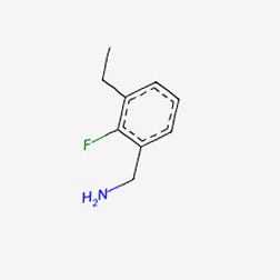 CCc1cccc(CN)c1F